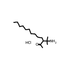 CCCCCCCCCCC(C(C)=O)C(C)(C)N.Cl